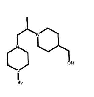 CC(C)N1CCN(CC(C)N2CCC(CO)CC2)CC1